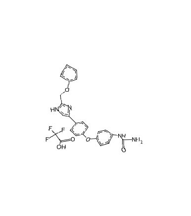 NC(=O)Nc1ccc(Oc2ccc(-c3c[nH]c(COc4ccccc4)n3)cc2)cc1.O=C(O)C(F)(F)F